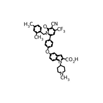 Cc1ccc(Cn2c(-c3ccc(Oc4ccc5c(c4)cc(C(=O)O)n5C4CCN(C)CC4)cc3)cc(C(F)(F)F)c(C#N)c2=O)c(C)c1